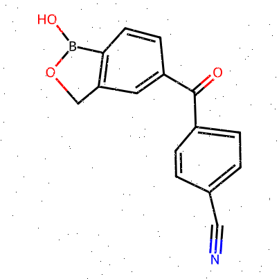 N#Cc1ccc(C(=O)c2ccc3c(c2)COB3O)cc1